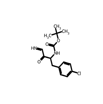 CC(C)(C)OC(=O)NC(Cc1ccc(Cl)cc1)C(=O)C=N